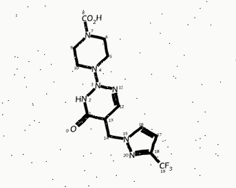 O=C1NN(N2CCN(C(=O)O)CC2)N=CC1Cn1ccc(C(F)(F)F)n1